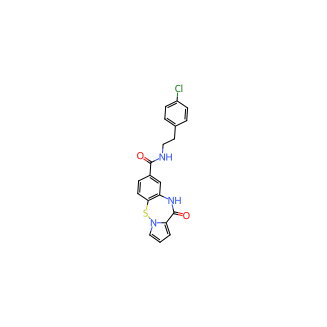 O=C(NCCc1ccc(Cl)cc1)c1ccc2c(c1)NC(=O)c1cccn1S2